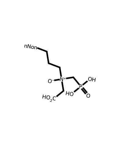 CCCCCCCCCCCC[N+]([O-])(CC(=O)O)CP(=O)(O)O